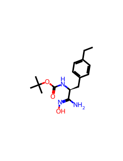 CCc1ccc(C[C@H](NC(=O)OC(C)(C)C)/C(N)=N/O)cc1